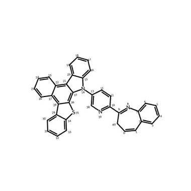 C1=Cc2ccccc2N=C(c2ccc(-n3c4ccccc4c4c5ccccc5c5c6ccccc6sc5c43)cn2)C1